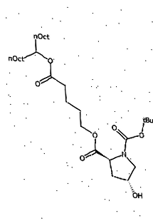 CCCCCCCCC(CCCCCCCC)OC(=O)CCCCOC(=O)[C@@H]1C[C@@H](O)CN1C(=O)OC(C)(C)C